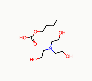 CCCC[O][Ti](=[O])[OH].OCCN(CCO)CCO